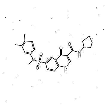 Cc1ccc(N(C)S(=O)(=O)c2ccc3[nH]cc(C(=O)NC4CCCC4)c(=O)c3c2)cc1C